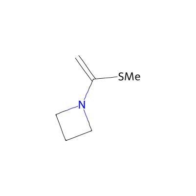 C=C(SC)N1CCC1